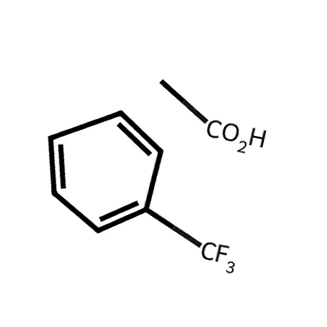 CC(=O)O.FC(F)(F)c1ccccc1